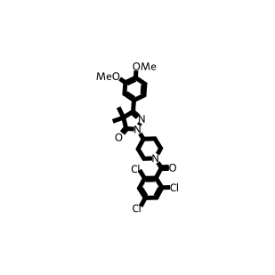 COc1ccc(C2=NN(C3CCN(C(=O)c4c(Cl)cc(Cl)cc4Cl)CC3)C(=O)C2(C)C)cc1OC